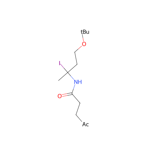 CC(=O)CCC(=O)NC(C)(I)CCOC(C)(C)C